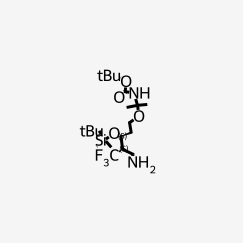 CC(C)(C)OC(=O)NC(C)(C)OCC[C@H](O[Si](C)(C)C(C)(C)C)[C@H](CN)C(F)(F)F